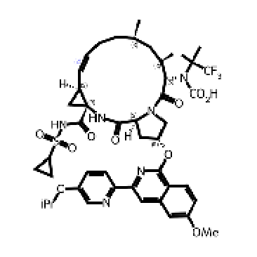 COc1ccc2c(O[C@@H]3C[C@H]4C(=O)N[C@]5(C(=O)NS(=O)(=O)C6CC6)C[C@H]5/C=C\CC[C@@H](C)C[C@@H](C)[C@H](N(C(=O)O)C(C)(C)C(F)(F)F)C(=O)N4C3)nc(-c3ccc(OC(C)C)cn3)cc2c1